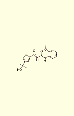 COc1ccccc1NC(=O)N[S+]([O-])c1cc(C(C)(C)O)co1